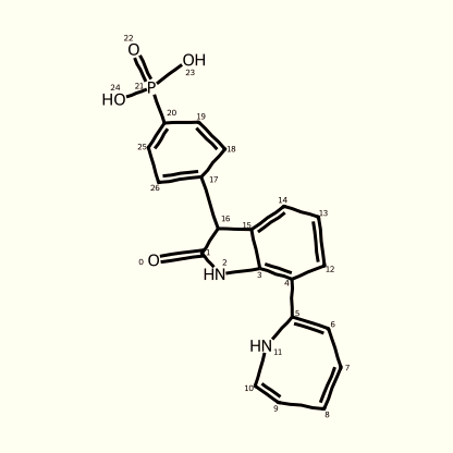 O=C1Nc2c(C3=CC=CC=CN3)cccc2C1c1ccc(P(=O)(O)O)cc1